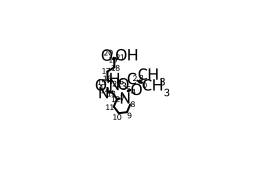 CC(C)(C)OC(=O)N1CCCCC1c1noc(CCC(=O)O)n1